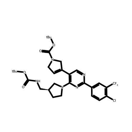 CC(C)(C)OC(=O)NC[C@@H]1CCN(c2nc(-c3ccc(Cl)c(C(F)(F)F)c3)ncc2C2=CCN(C(=O)OC(C)(C)C)C2)C1